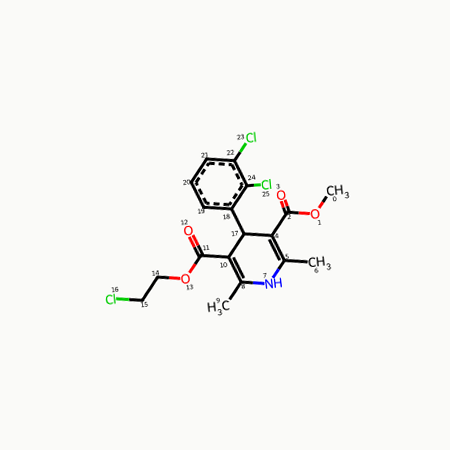 COC(=O)C1=C(C)NC(C)=C(C(=O)OCCCl)C1c1cccc(Cl)c1Cl